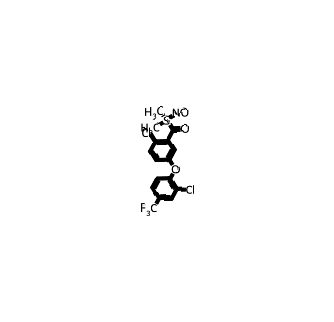 CS(C)(N=O)C(=O)c1cc(Oc2ccc(C(F)(F)F)cc2Cl)ccc1Cl